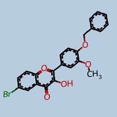 COc1cc(-c2oc3ccc(Br)cc3c(=O)c2O)ccc1OCc1ccccc1